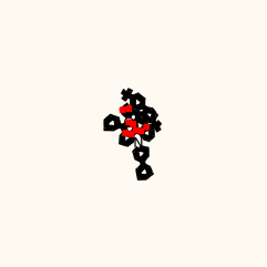 CC(C)(C)c1ccc2c(c1)C1(c3ccccc3Oc3c(-c4ccccc4N(c4ccc(-c5ccccc5)cc4)c4ccccc4-c4ccc(-c5ccccc5)cc4)cccc31)c1cc(C(C)(C)C)ccc1-2